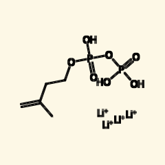 C=C(C)CCOP(=O)(O)OP(=O)(O)O.[Li+].[Li+].[Li+].[Li+]